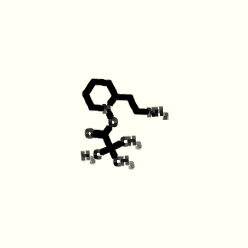 CC(C)(C)C(=O)ON1CCCCC1CCN